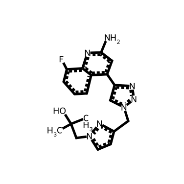 CC(C)(O)Cn1ccc(Cn2cc(-c3cc(N)nc4c(F)cccc34)nn2)n1